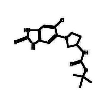 CC(C)(C)OC(=O)NC1CCN(c2cc3[nH]c(=S)[nH]c3cc2Cl)C1